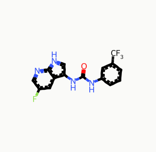 O=C(Nc1cccc(C(F)(F)F)c1)Nc1c[nH]c2ncc(F)cc12